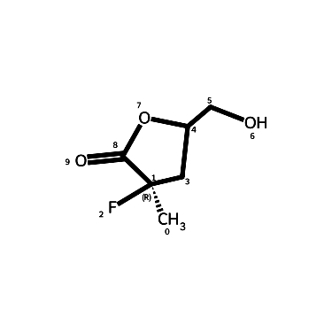 C[C@@]1(F)CC(CO)OC1=O